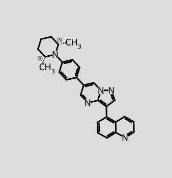 C[C@@H]1CCC[C@H](C)N1c1ccc(-c2cnc3c(-c4cccc5ncccc45)cnn3c2)cc1